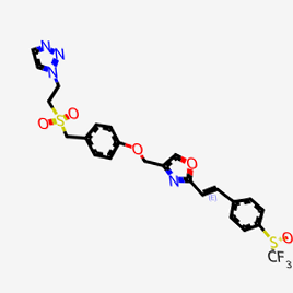 O=S(=O)(CCn1ccnn1)Cc1ccc(OCc2coc(/C=C/c3ccc([S+]([O-])C(F)(F)F)cc3)n2)cc1